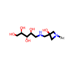 CC(=O)N1CC(O)(CNC[C@H](O)[C@H](O)[C@H](O)CO)C1